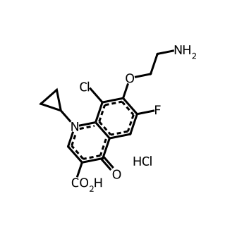 Cl.NCCOc1c(F)cc2c(=O)c(C(=O)O)cn(C3CC3)c2c1Cl